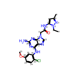 CCn1nc(C)cc1NC(=O)Cn1cnc2c(Nc3cc(OC)ccc3Cl)nc(N)nc21